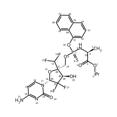 CC(C)OC(=O)[C@H](C)NP(=S)(OC[C@@]1(C(F)F)O[C@@H](n2ccc(N)nc2=O)C(F)(F)[C@@H]1O)Oc1cccc2ccccc12